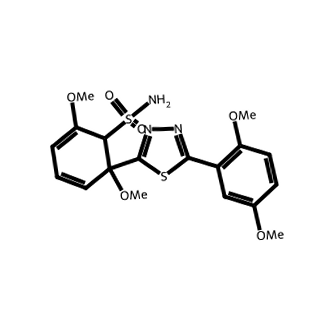 COC1=CC=CC(OC)(c2nnc(-c3cc(OC)ccc3OC)s2)C1S(N)(=O)=O